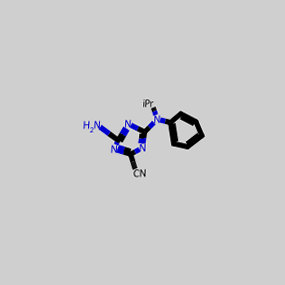 CC(C)N(c1ccccc1)c1nc(N)nc(C#N)n1